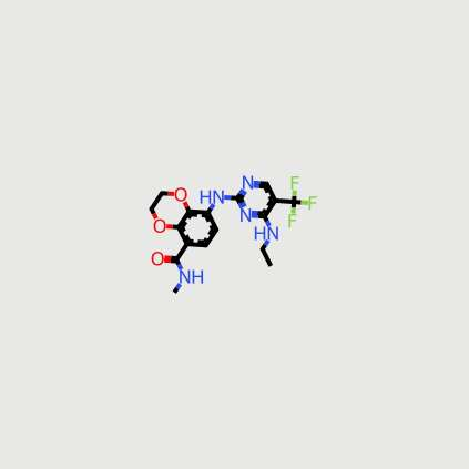 CCNc1nc(Nc2ccc(C(=O)NC)c3c2OCCO3)ncc1C(F)(F)F